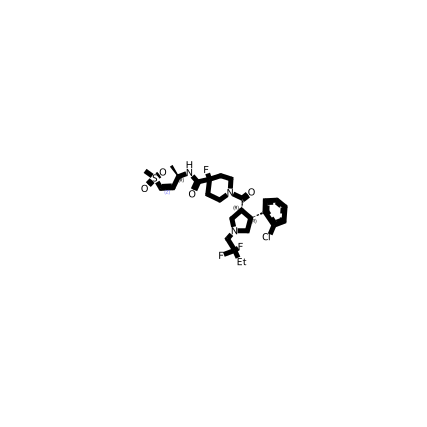 CCC(F)(F)CN1C[C@H](C(=O)N2CCC(F)(C(=O)N[C@H](C)/C=C\S(C)(=O)=O)CC2)[C@H](c2ccccc2Cl)C1